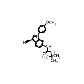 COc1ccc(-n2cc(C#N)c3ccc(NC(=O)NC(C)(C)C)cc32)cc1